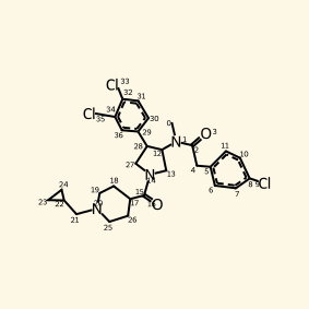 CN(C(=O)Cc1ccc(Cl)cc1)C1CN(C(=O)C2CCN(CC3CC3)CC2)CC1c1ccc(Cl)c(Cl)c1